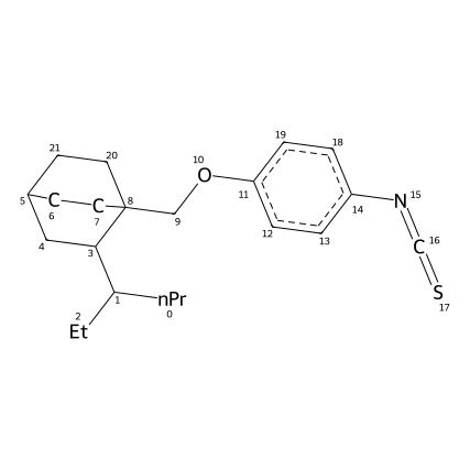 CCCC(CC)C1CC2CCC1(COc1ccc(N=C=S)cc1)CC2